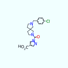 O=C(O)c1cnn(C(=O)N2CCC3(CCN(Cc4ccc(Cl)cc4)C3)C2)c1